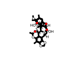 CCCN[C@H]1CS[C@@H]2c3c(OC(C)=O)c(C)c4c(c3[C@H](COC1=O)N1C2[C@H]2c3c(cc(C)c(OC)c3O)C[C@@H]([C@@H]1O)N2C)OCO4